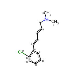 CN(C)CC=CC=Cc1ccccc1Cl